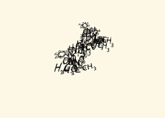 CC[C@@H](NC)C(=O)N[C@@H](C(=O)N[C@@H](C)C(=O)N[C@H](COCC#CC#CCOC[C@@H](NC(=O)C1CCCN1C(=O)[C@@H](NC(=O)[C@H](C)NC)C(C)(C)C)C1CCCCC1)C(C)C)C1CCCCC1